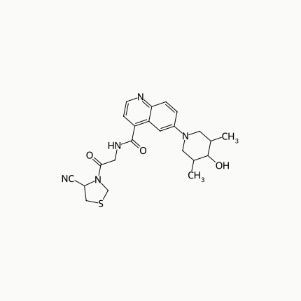 CC1CN(c2ccc3nccc(C(=O)NCC(=O)N4CSCC4C#N)c3c2)CC(C)C1O